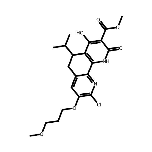 COCCCOc1cc2c(nc1Cl)-c1[nH]c(=O)c(C(=O)OC)c(O)c1C(C(C)C)C2